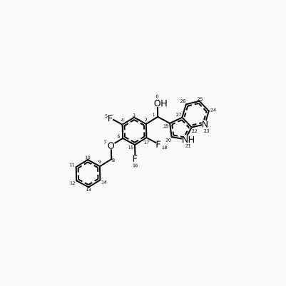 OC(c1cc(F)c(OCc2ccccc2)c(F)c1F)c1c[nH]c2ncccc12